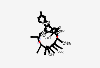 COc1c(C)c(O)c2c(O)c3c4c(nc5cc(C)ccn54)c2c1C(=O)O/C=C/C(OC)C(C)C(OC(C)=O)C(C)C(O)C(C)CC(C)/C=C/C=C(/C)CN3